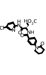 O=C(O)C[C@H](NC(=O)c1ccc(N2CCCCC2=O)cc1)C(=O)Nc1ccc(Cl)cn1